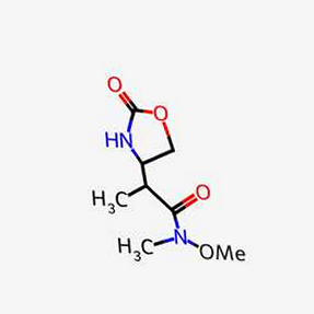 CON(C)C(=O)C(C)C1COC(=O)N1